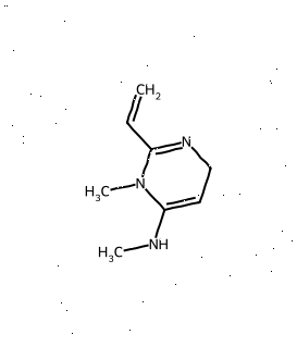 C=CC1=NCC=C(NC)N1C